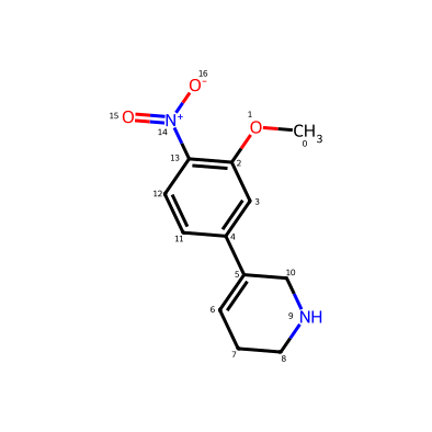 COc1cc(C2=CCCNC2)ccc1[N+](=O)[O-]